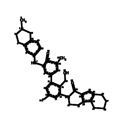 CN1CCc2cc(Nc3cc(-c4cc(F)cc(N5CCn6c(cc7c6CCCC7)C5=O)c4CO)cn(C)c3=O)ccc2C1